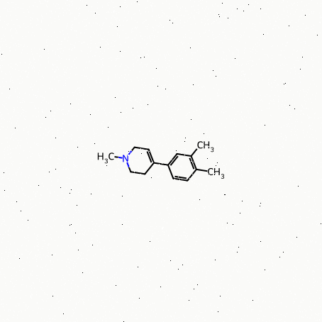 Cc1ccc(C2=CCN(C)CC2)cc1C